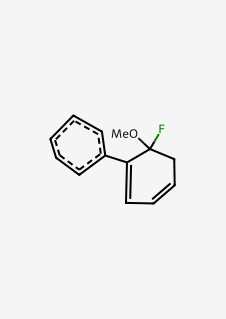 COC1(F)CC=CC=C1c1ccccc1